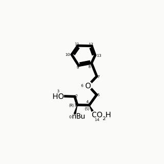 CCCC[C@@H](CO)[C@@H](COCc1ccccc1)C(=O)O